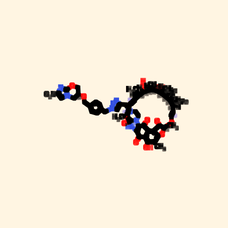 CO[C@H]1/C=C/O[C@@]2(C)Oc3c(C)c(O)c4c(c3C2=O)C(=O)C(N2CCN(Cc3cn(Cc5ccc(CO[C@@H]6COc7nc([N+](=O)[O-])cn7C6)cc5)nn3)CC2)=C(NC(=O)/C(C)=C\C=C\[C@H](C)[C@H](O)[C@@H](C)[C@@H](O)[C@@H](C)[C@H](OC(C)=O)[C@@H]1C)C4=O